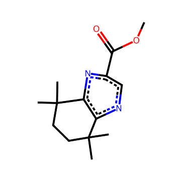 COC(=O)c1cnc2c(n1)C(C)(C)CCC2(C)C